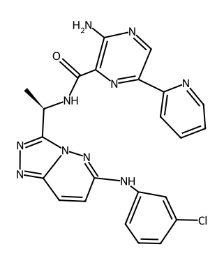 C[C@@H](NC(=O)c1nc(-c2ccccn2)cnc1N)c1nnc2ccc(Nc3cccc(Cl)c3)nn12